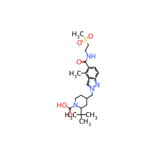 Cc1c(C(=O)NCCS(C)(=O)=O)ccc2nn(CC3CCN(C(=O)O)C(C(C)(C)C)C3)cc12